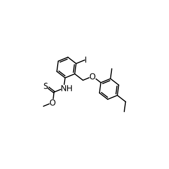 CCc1ccc(OCc2c(I)cccc2NC(=S)OC)c(C)c1